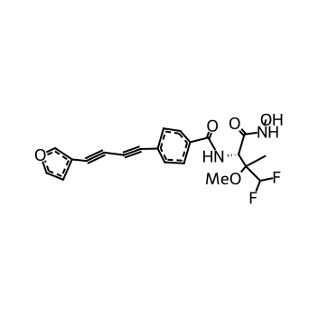 COC(C)(C(F)F)[C@H](NC(=O)c1ccc(C#CC#Cc2ccoc2)cc1)C(=O)NO